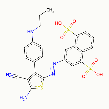 CCCNc1ccc(-c2c(/N=N/c3cc(S(=O)(=O)O)c4cccc(S(=O)(=O)O)c4c3)sc(N)c2C#N)cc1